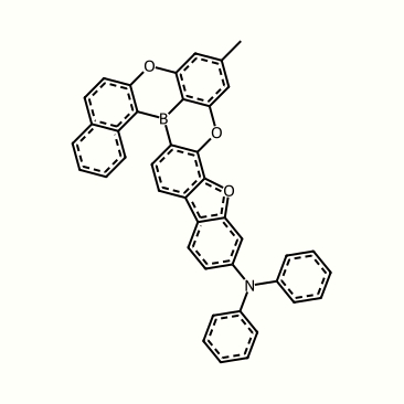 Cc1cc2c3c(c1)Oc1c(ccc4c1oc1cc(N(c5ccccc5)c5ccccc5)ccc14)B3c1c(ccc3ccccc13)O2